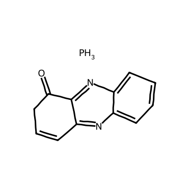 O=C1CC=Cc2nc3ccccc3nc21.P